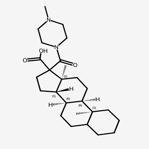 CN1CCN(C(=O)C2(C(=O)O)CC[C@H]3[C@@H]4CCC5CCCC[C@]5(C)[C@@H]4CC[C@@]32C)CC1